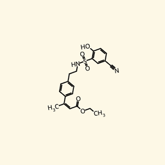 CCOC(=O)/C=C(/C)c1ccc(CCNS(=O)(=O)c2cc(C#N)ccc2O)cc1